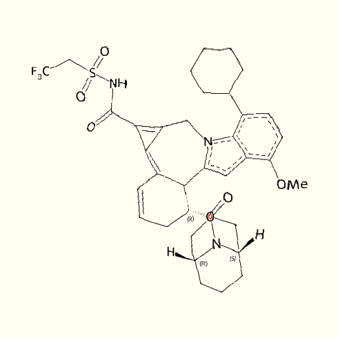 COc1ccc(C2CCCCC2)c2c1cc1n2CC2=C(C(=O)NS(=O)(=O)CC(F)(F)F)C2=C2C=CC[C@@H](C(=O)N3[C@@H]4CCC[C@H]3COC4)C21